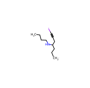 [CH2]CCC(CC#CI)NCCCC